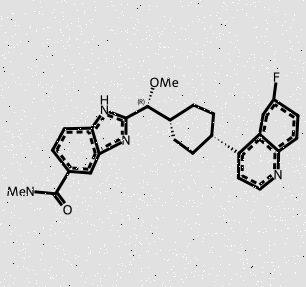 CNC(=O)c1ccc2[nH]c([C@H](OC)[C@H]3CC[C@@H](c4ccnc5ccc(F)cc54)CC3)nc2c1